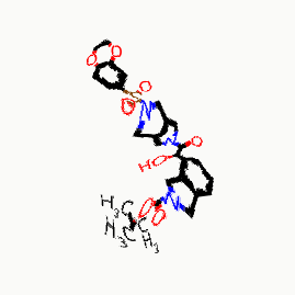 CC(C)(C)OC(=O)N1Cc2cccc(C(O)C(=O)N3CC4=C(C3)CN(S(=O)(=O)c3ccc5c(c3)OCCO5)C4)c2C1